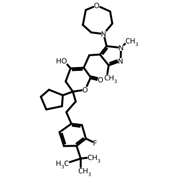 Cc1nn(C)c(N2CCCOCC2)c1CC1=C(O)CC(CCc2ccc(C(C)(C)C)c(F)c2)(C2CCCC2)OC1=O